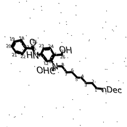 CCCCCCCCCCCCCCCCCCN(C=O)c1cc(NC(=O)c2ccccc2)ccc1CO